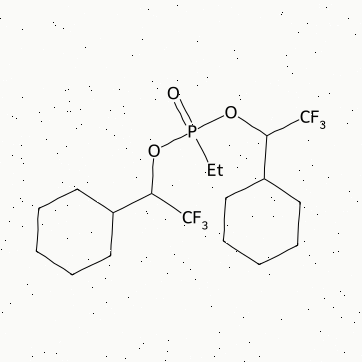 CCP(=O)(OC(C1CCCCC1)C(F)(F)F)OC(C1CCCCC1)C(F)(F)F